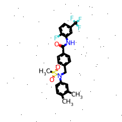 Cc1ccc(N(Cc2ccc(C(=O)Nc3cc(C(F)(F)F)ccc3F)cc2)S(C)(=O)=O)cc1C